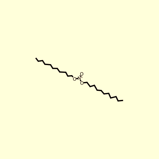 CCCCCCCCCCCO[N+](=O)OCCCCCCCCCCC